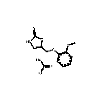 COc1ccccc1OCC1CNC(=O)O1.O=[PH](O)O